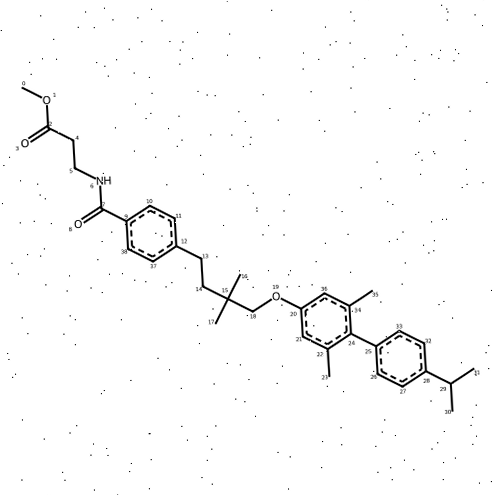 COC(=O)CCNC(=O)c1ccc(CCC(C)(C)COc2cc(C)c(-c3ccc(C(C)C)cc3)c(C)c2)cc1